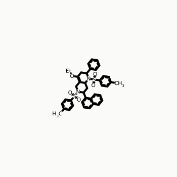 CCOC1=C2CN(S(=O)(=O)c3ccc(C)cc3)C(c3cccc4ccccc34)CC2N(S(=O)(=O)c2ccc(C)cc2)C(c2ccccc2)C1